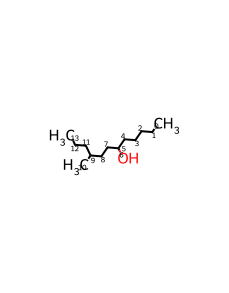 CCCCCC(O)CCC(C)CCC